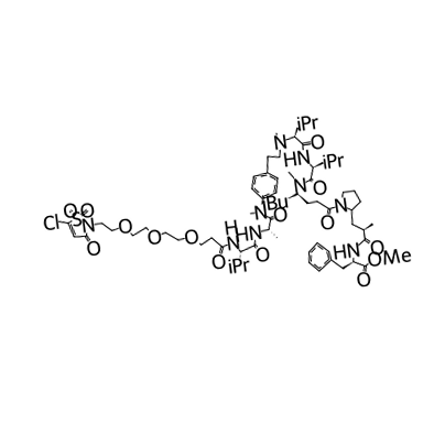 CC[C@H](C)[C@H](CCC(=O)N1CCCC1C[C@@H](C)C(=O)N[C@H](Cc1ccccc1)C(=O)OC)N(C)C(=O)[C@@H](NC(=O)[C@H](C(C)C)N(C)CCc1ccc(N(C)C(=O)[C@H](C)NC(=O)[C@@H](NC(=O)CCOCCOCCOCCN2C(=O)C=C(Cl)S2(=O)=O)C(C)C)cc1)C(C)C